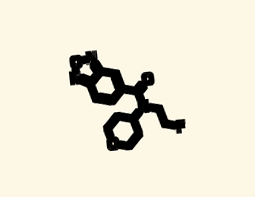 O=C(c1ccc2nonc2c1)N(CCF)C1CCOCC1